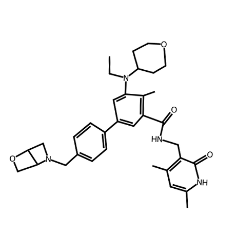 CCN(c1cc(-c2ccc(CN3CC4OCC43)cc2)cc(C(=O)NCc2c(C)cc(C)[nH]c2=O)c1C)C1CCOCC1